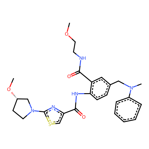 COCCNC(=O)c1cc(CN(C)c2ccccc2)ccc1NC(=O)c1csc(N2CC[C@H](OC)C2)n1